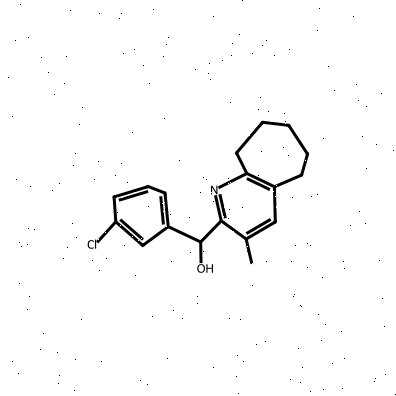 Cc1cc2c(nc1C(O)c1cccc(Cl)c1)CCCCC2